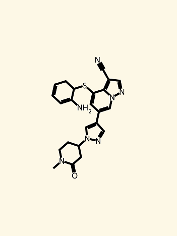 CN1CCC(n2cc(-c3cc(SC4CC=CC=C4N)c4c(C#N)cnn4c3)cn2)CC1=O